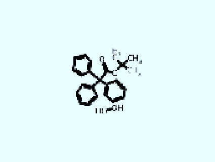 CC(C)(C)OC(=O)C(c1ccccc1)(c1ccccc1)c1ccccc1.OO